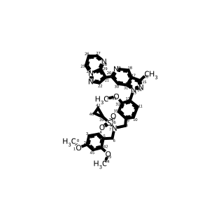 COc1ccc(CN(Cc2ccc(-n3nc(C)c4cnc(-c5cnn6cccnc56)cc43)c(OC)c2)S(=O)(=O)C2CC2)c(OC)c1